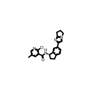 Cc1cnc(Cl)c(C(=O)N[C@@H]2CCc3ccc(-c4cn5c(n4)CCC5)cc32)c1